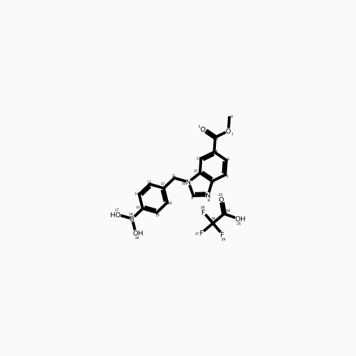 COC(=O)c1ccc2ncn(Cc3ccc(B(O)O)cc3)c2c1.O=C(O)C(F)(F)F